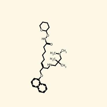 CN(C)CC(C)(C)CNCC(=CCCCCC(=O)NOC1CCCCO1)COc1cccc2ccccc12